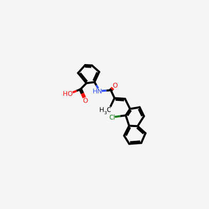 CC(=Cc1ccc2ccccc2c1Cl)C(=O)Nc1ccccc1C(=O)O